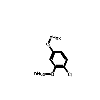 CCCCCCOc1ccc(Cl)c(OCCCCCC)c1